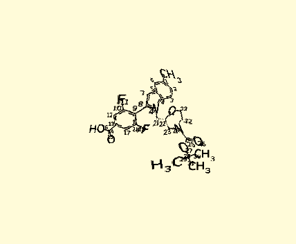 Cc1ccc2c(c1)cc(-c1c(F)cc(C(=O)O)cc1F)n2C[C@H]1CN(C(=O)OC(C)(C)C)CCO1